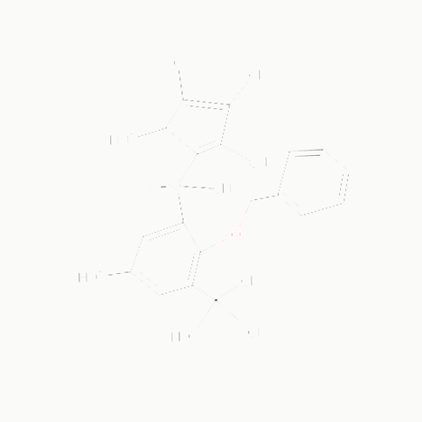 CC1=C(C)C(C)C([Si](C)(C)c2cc(C)cc(C(C)(C)C)c2OCc2ccccc2)=C1C